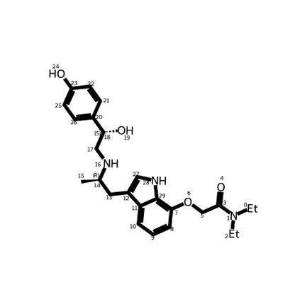 CCN(CC)C(=O)COc1cccc2c(C[C@@H](C)NC[C@@H](O)c3ccc(O)cc3)c[nH]c12